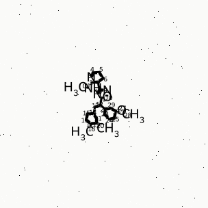 CNc1ncccc1-c1noc(C(=Cc2ccc(C)c(C)c2)c2cccc(OC)c2)n1